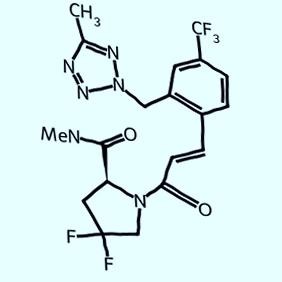 CNC(=O)[C@@H]1CC(F)(F)CN1C(=O)/C=C/c1ccc(C(F)(F)F)cc1Cn1nnc(C)n1